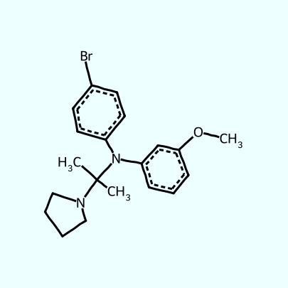 COc1cccc(N(c2ccc(Br)cc2)C(C)(C)N2CCCC2)c1